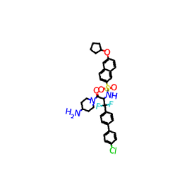 NC1CCN(C(=O)C(NS(=O)(=O)c2ccc3cc(OC4CCCC4)ccc3c2)C(F)(F)c2ccc(-c3ccc(Cl)cc3)cc2)CC1